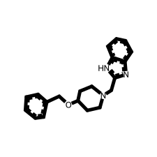 c1ccc(COC2CCN(Cc3nc4ccccc4[nH]3)CC2)cc1